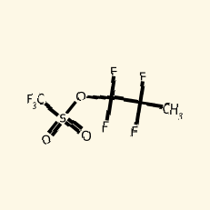 CC(F)(F)C(F)(F)OS(=O)(=O)C(F)(F)F